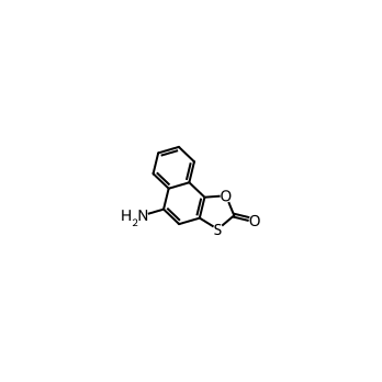 Nc1cc2sc(=O)oc2c2ccccc12